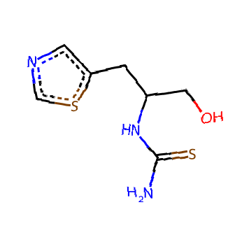 NC(=S)NC(CO)Cc1cncs1